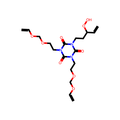 C=COCOCCn1c(=O)n(CCOCOC=C)c(=O)n(CCC(C=C)OO)c1=O